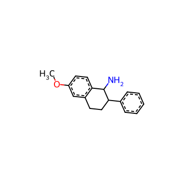 COc1ccc2c(c1)CCC(c1ccccc1)C2N